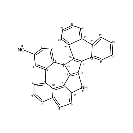 N#Cc1ccc2c(c1)c1cccc3ccc4[nH]c5c6c7ccccc7c7ccccc7c6n2c5c4c31